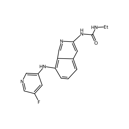 CCNC(=O)Nc1cc2cccc(Nc3cncc(F)c3)c2cn1